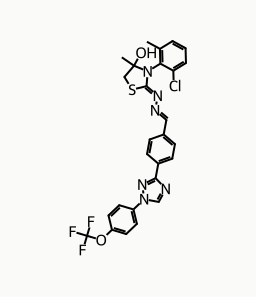 Cc1cccc(Cl)c1N1/C(=N/N=C/c2ccc(-c3ncn(-c4ccc(OC(F)(F)F)cc4)n3)cc2)SCC1(C)O